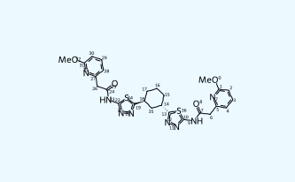 COc1cccc(CC(=O)Nc2nnc([C@H]3CCC[C@H](c4nnc(NC(=O)Cc5cccc(OC)n5)s4)C3)s2)n1